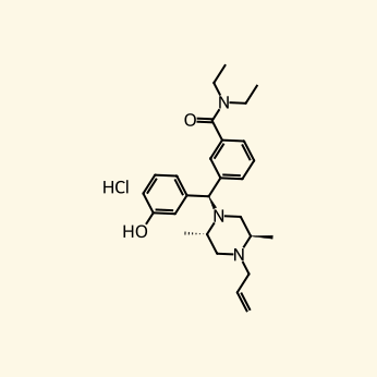 C=CCN1C[C@H](C)N([C@@H](c2cccc(O)c2)c2cccc(C(=O)N(CC)CC)c2)C[C@H]1C.Cl